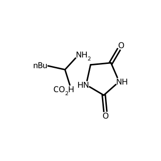 CCCCC(N)C(=O)O.O=C1CNC(=O)N1